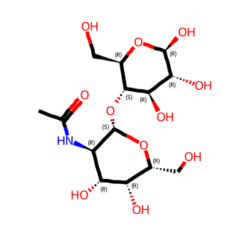 CC(=O)N[C@H]1[C@H](O[C@H]2[C@H](O)[C@@H](O)[C@H](O)O[C@@H]2CO)O[C@H](CO)[C@H](O)[C@@H]1O